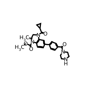 COC(=O)N1c2ccc(-c3ccc(C(=O)N4CCNCC4)cc3)cc2N(C(=O)C2CC2)C[C@@H]1C